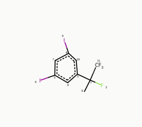 CC(F)(c1cc(I)[c]c(I)c1)C(F)(F)F